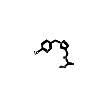 COC(=O)NCc1cnn(Cc2ccc(C(F)(F)F)nc2)c1